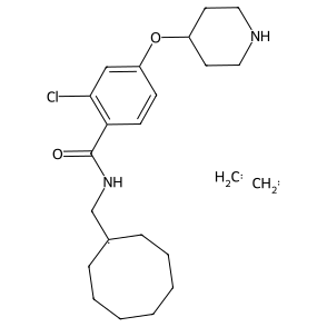 O=C(NC[C]1CCCCCCC1)c1ccc(OC2CCNCC2)cc1Cl.[CH2].[CH2]